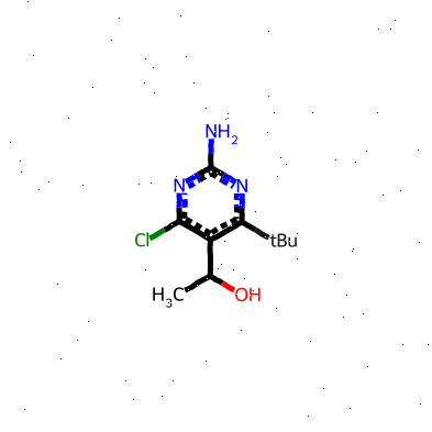 CC(O)c1c(Cl)nc(N)nc1C(C)(C)C